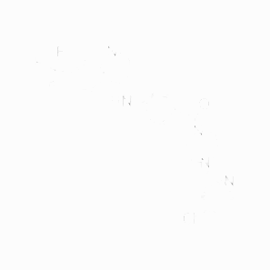 O=C(c1ccc(Nc2ccnc3cc(C(F)(F)F)ccc23)cc1)N1CCN(c2cc(Cl)ccn2)CC1